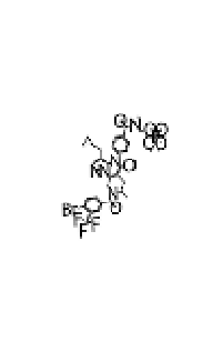 COP(=O)(OC)OCN(C)C(=O)c1ccc(-n2c(=O)c3c(n4ncc(CC5CC5)c24)CN(C(=O)c2ccc(Br)c(C(F)(F)F)c2)C(C)C3)cc1